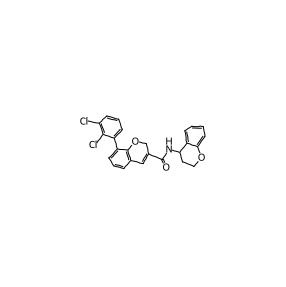 O=C(NC1CCOc2ccccc21)C1=Cc2cccc(-c3cccc(Cl)c3Cl)c2OC1